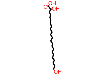 O=C(O)C(O)CCCCCCCCCCCCCCCCCCCCCO